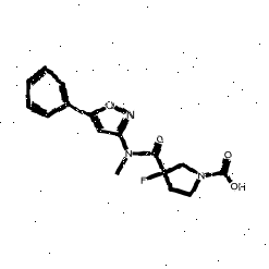 CN(C(=O)C1(F)CCN(C(=O)O)C1)c1cc(-c2ccccc2)on1